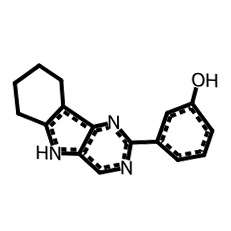 Oc1cccc(-c2ncc3[nH]c4c(c3n2)CCCC4)c1